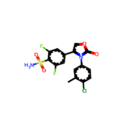 Cc1cc(-n2c(-c3cc(F)c(S(N)(=O)=O)c(F)c3)coc2=O)ccc1Cl